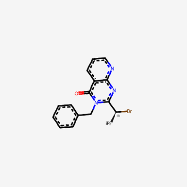 CC(C)[C@H](Br)c1nc2ncccc2c(=O)n1Cc1ccccc1